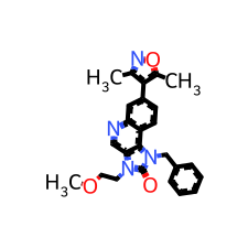 COCCn1c(=O)n(Cc2ccccc2)c2c3ccc(-c4c(C)noc4C)cc3ncc21